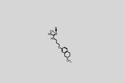 CNC(=NC#N)NCCCOc1ccc2c(c1)CN(C)CC2